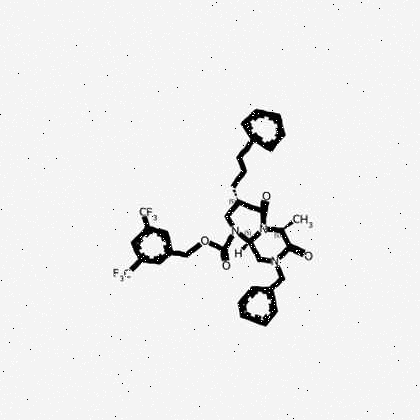 C[C@H]1C(=O)N(Cc2ccccc2)C[C@@H]2N(C(=O)OCc3cc(C(F)(F)F)cc(C(F)(F)F)c3)C[C@H](CCCc3ccccc3)C(=O)N21